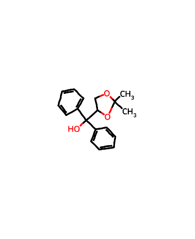 CC1(C)OCC(C(O)(c2ccccc2)c2ccccc2)O1